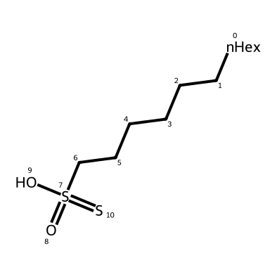 CCCCCCCCCCCCS(=O)(O)=S